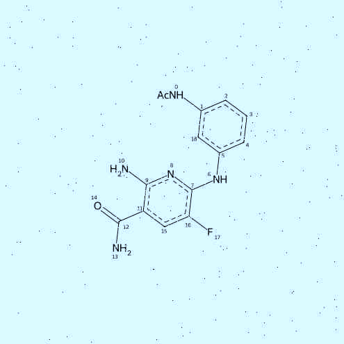 CC(=O)Nc1cccc(Nc2nc(N)c(C(N)=O)cc2F)c1